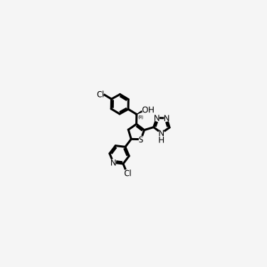 O[C@@H](C1=C(c2nnc[nH]2)SC(c2ccnc(Cl)c2)C1)c1ccc(Cl)cc1